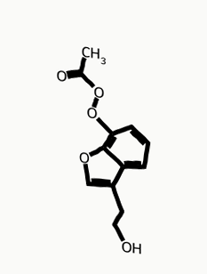 CC(=O)OOc1cccc2c(CCO)coc12